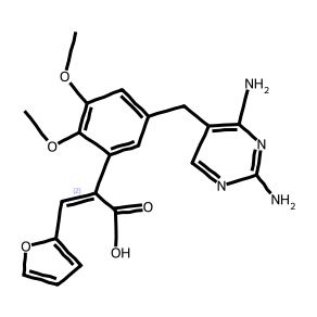 COc1cc(Cc2cnc(N)nc2N)cc(/C(=C/c2ccco2)C(=O)O)c1OC